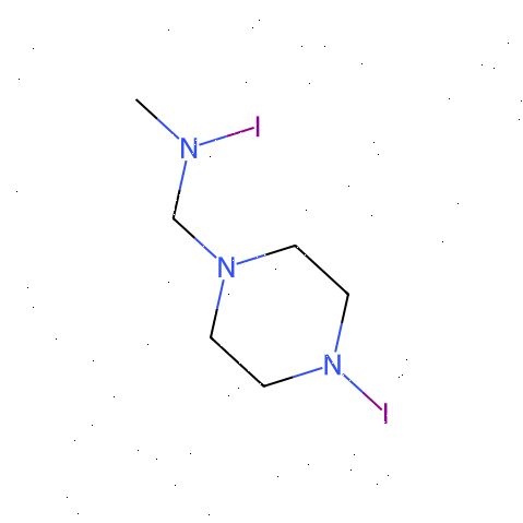 CN(I)CN1CCN(I)CC1